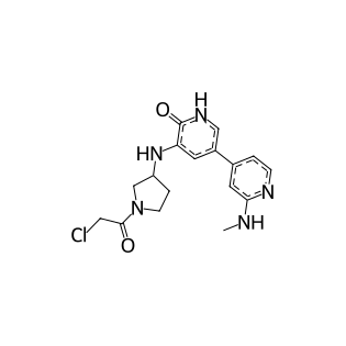 CNc1cc(-c2c[nH]c(=O)c(NC3CCN(C(=O)CCl)C3)c2)ccn1